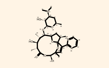 CC[C@H]1OC(=O)[C@H](C)[C@@H](O)[C@H](C)[C@@H](O[C@@H]2O[C@H](C)C[C@H](N(C)C)[C@H]2O)[C@@]2(C)C[C@@H](C)C3(OC1(C)C=C3c1ncccn1)O2